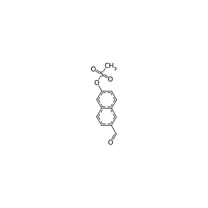 CS(=O)(=O)Oc1ccc2cc(C=O)ccc2c1